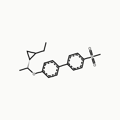 CCC1C[C@H]1C(C)Oc1ccc(-c2ccc(S(C)(=O)=O)cc2)cc1